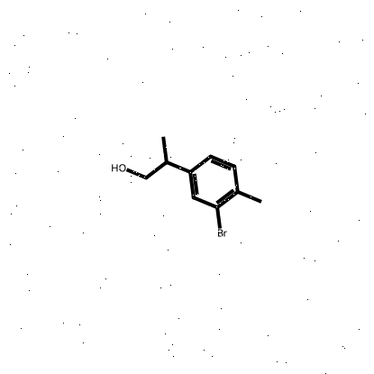 C[C](CO)c1ccc(C)c(Br)c1